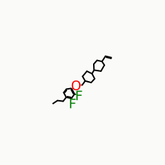 C=CC1CCC(C2CCC(COc3ccc(CCC)c(F)c3F)CC2)CC1